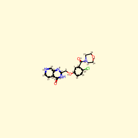 O=C(c1cc(OCc2nc3cnccc3c(=O)[nH]2)ccc1Cl)N1CCOCC1